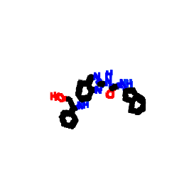 O=C(Nc1ncc2ccc(NC(CO)c3ccccc3)cc2n1)NC1Cc2ccccc2C1